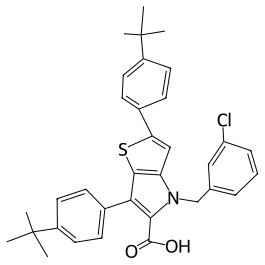 CC(C)(C)c1ccc(-c2cc3c(s2)c(-c2ccc(C(C)(C)C)cc2)c(C(=O)O)n3Cc2cccc(Cl)c2)cc1